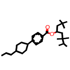 CCCC1CCC(c2ccc(C(=O)OC(CC(C)(C)C)CC(C)(C)C(C)C)cc2)CC1